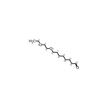 CCOCCOCCCCCCC[C]=O